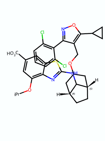 CC(C)Oc1cc(C(=O)O)cc2sc(NC3[C@@H]4CC[C@H]3CC(OCc3c(-c5c(Cl)cccc5Cl)noc3C3CC3)C4)nc12